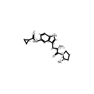 N#C[C@@H]1CCCN1C(=O)[C@@H](N)Cc1c[nH]c2ccc(NC(=O)C3CC3)cc12